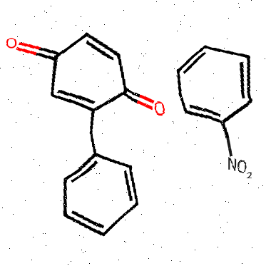 O=C1C=CC(=O)C(c2ccccc2)=C1.O=[N+]([O-])c1ccccc1